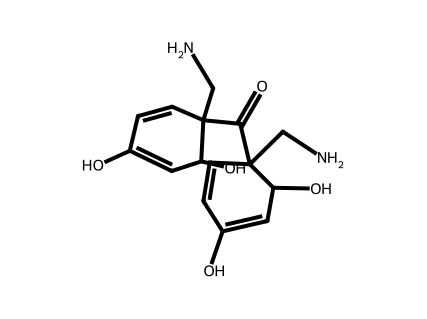 NCC1(C(=O)C2(CN)C=CC(O)=CC2O)C=CC(O)=CC1O